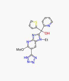 CCn1c(C(O)(c2ccccn2)c2cccs2)nc2nc(OC)c(-c3nnn[nH]3)cc21